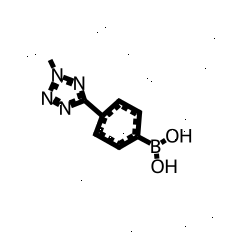 Cn1nnc(-c2ccc(B(O)O)cc2)n1